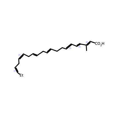 CC/C=C\C/C=C\CC=CCC=CCC/C=C/C=C/C(C)=C/C(=O)O